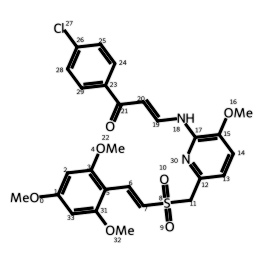 COc1cc(OC)c(C=CS(=O)(=O)Cc2ccc(OC)c(NC=CC(=O)c3ccc(Cl)cc3)n2)c(OC)c1